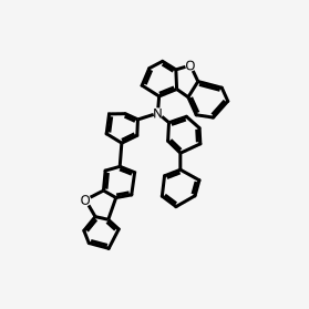 c1ccc(-c2cccc(N(c3cccc(-c4ccc5c(c4)oc4ccccc45)c3)c3cccc4oc5ccccc5c34)c2)cc1